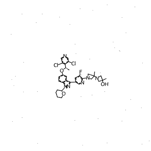 C[C@@H](Oc1ccc2c(c1)c(-c1cnc(N3CC(C)(N4CC(C)(O)C4)C3)c(F)c1)nn2C1CCCCO1)c1c(Cl)cncc1Cl